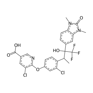 CC(c1ccc(Oc2ncc(C(=O)O)cc2Cl)cc1Cl)C(O)(c1ccc2c(c1)n(C)c(=O)n2C)C(F)(F)F